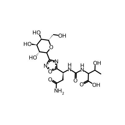 CC(O)C(NC(=O)N[C@@H](CC(N)=O)c1nc(C2O[C@@H](CO)[C@H](O)[C@H](O)[C@H]2O)no1)C(=O)O